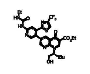 CCNC(=O)Nc1cc(-c2nc(C(F)(F)F)cs2)c(-c2cnc3c(c2)c(=O)c(C(=O)OCC)cn3[C@H](CO)C(C)(C)C)cn1